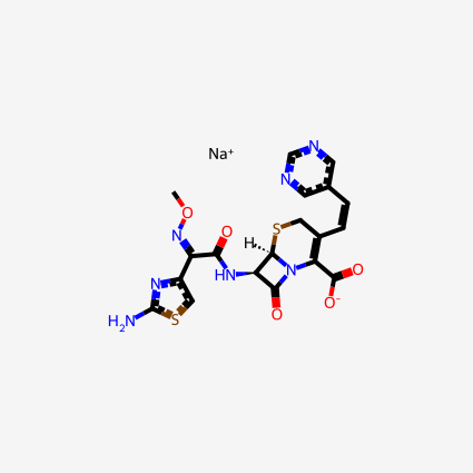 CO/N=C(\C(=O)N[C@@H]1C(=O)N2C(C(=O)[O-])=C(/C=C\c3cncnc3)CS[C@H]12)c1csc(N)n1.[Na+]